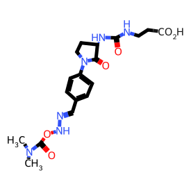 CN(C)C(=O)ONN=Cc1ccc(N2CC[C@H](NC(=O)NCCC(=O)O)C2=O)cc1